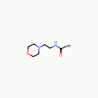 CCCC(=O)NCCN1CCOCC1